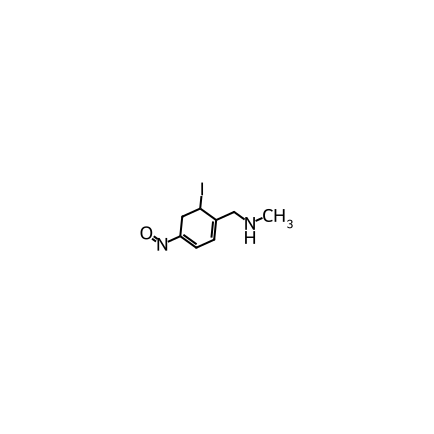 CNCC1=CC=C(N=O)CC1I